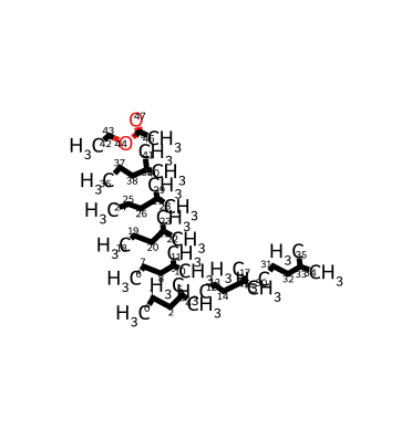 CCCC(C)C.CCCC(C)C.CCCC(C)C.CCCC(C)C.CCCC(C)C.CCCC(C)C.CCCC(C)C.CCOC(C)=O